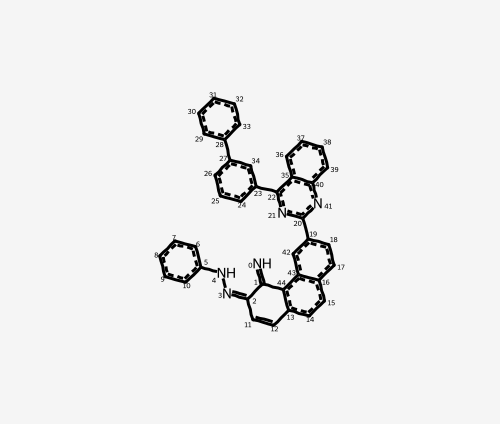 N=C1/C(=N\Nc2ccccc2)C=Cc2ccc3ccc(-c4nc(-c5cccc(-c6ccccc6)c5)c5ccccc5n4)cc3c21